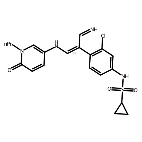 CCCn1cc(N/C=C(\C=N)c2ccc(NS(=O)(=O)C3CC3)cc2Cl)ccc1=O